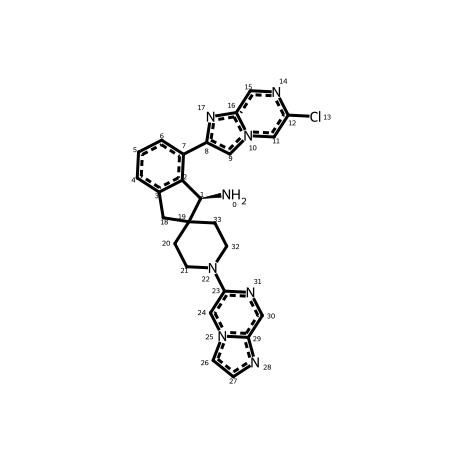 N[C@@H]1c2c(cccc2-c2cn3cc(Cl)ncc3n2)CC12CCN(c1cn3ccnc3cn1)CC2